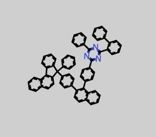 c1ccc(-c2nc(-c3ccc(-c4c(-c5ccc(C6(c7ccccc7)c7ccccc7-c7c6ccc6ccccc76)cc5)ccc5ccccc45)cc3)nc(-c3ccccc3-c3ccccc3)n2)cc1